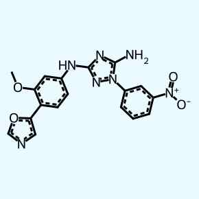 COc1cc(Nc2nc(N)n(-c3cccc([N+](=O)[O-])c3)n2)ccc1-c1cnco1